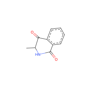 CC1NC(=O)c2ccccc2C1=O